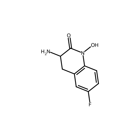 NC1Cc2cc(F)ccc2N(O)C1=O